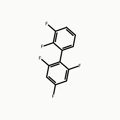 Fc1cc(F)c(-c2cc[c]c(F)c2F)c(F)c1